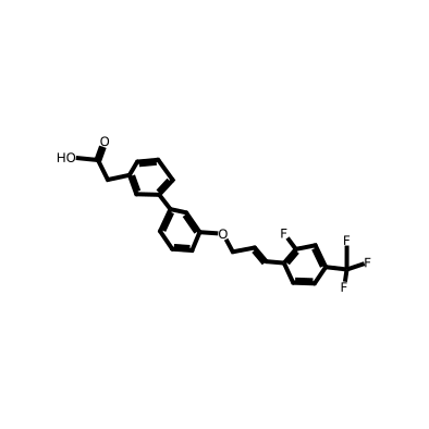 O=C(O)Cc1cccc(-c2cccc(OC/C=C/c3ccc(C(F)(F)F)cc3F)c2)c1